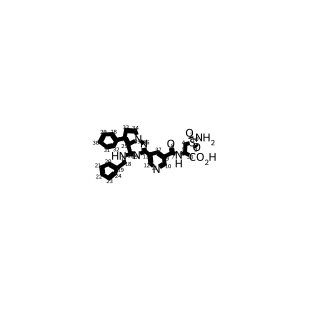 NS(=O)(=O)CC(NC(=O)c1cncc(-c2nc(NCc3ccccc3)c3c(-c4ccccc4)ccn3n2)c1)C(=O)O